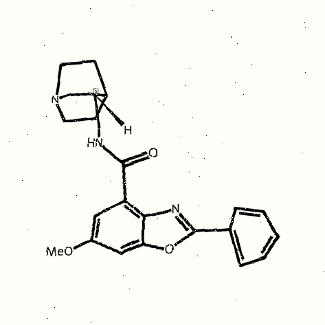 COc1cc(C(=O)N[C@@H]2CN3CCC2CC3)c2nc(-c3ccccc3)oc2c1